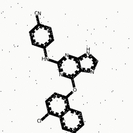 N#Cc1ccc(Nc2nc(Oc3ccc(Cl)c4ccccc34)c3nc[nH]c3n2)cc1